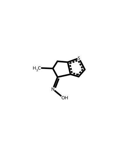 CC1Cc2sccc2C1=NO